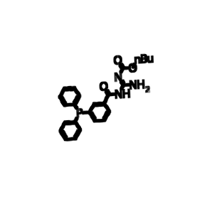 CCCCOC(=O)N=C(N)NC(=O)c1cccc(P(c2ccccc2)c2ccccc2)c1